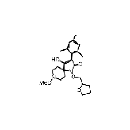 CON1CCC2(CC1)C(O)=C(c1c(C)cc(C)cc1C)C(=O)N2OCC1CCCO1